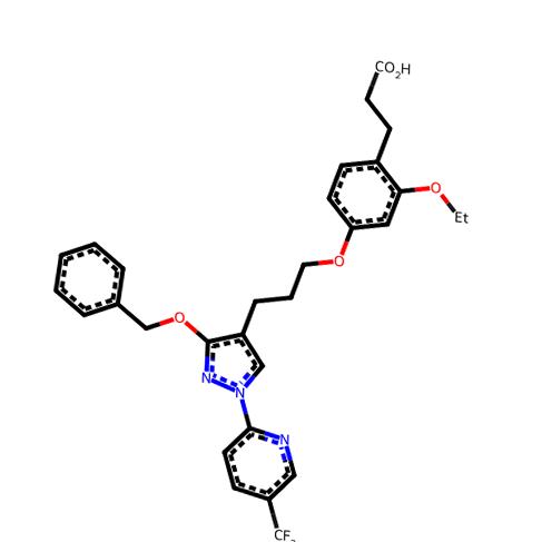 CCOc1cc(OCCCc2cn(-c3ccc(C(F)(F)F)cn3)nc2OCc2ccccc2)ccc1CCC(=O)O